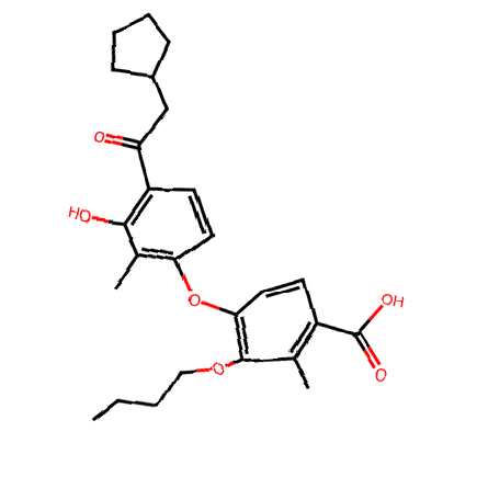 CCCCOc1c(Oc2ccc(C(=O)CC3CCCC3)c(O)c2C)ccc(C(=O)O)c1C